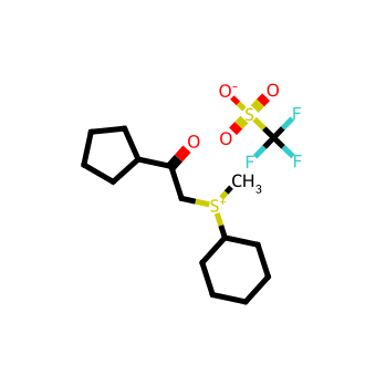 C[S+](CC(=O)C1CCCC1)C1CCCCC1.O=S(=O)([O-])C(F)(F)F